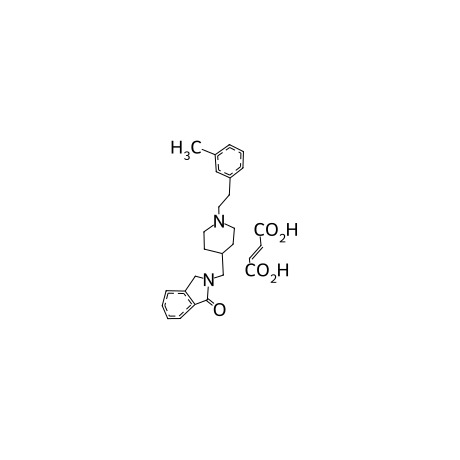 Cc1cccc(CCN2CCC(CN3Cc4ccccc4C3=O)CC2)c1.O=C(O)C=CC(=O)O